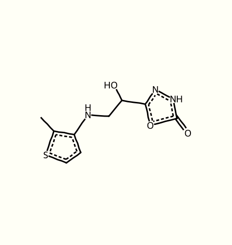 Cc1sccc1NCC(O)c1n[nH]c(=O)o1